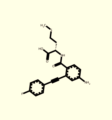 CSCC[C@H](NC(=O)c1ccc(N)cc1C#Cc1ccc(F)cc1)C(=O)O